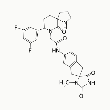 CN1C(=O)NC(=O)C12Cc1ccc(NC(=O)CN3C(=O)C4(CCCN4)CCC3c3cc(F)cc(F)c3)cc1C2